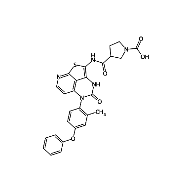 Cc1cc(Oc2ccccc2)ccc1N1C(=O)Nc2c(NC(=O)C3CCN(C(=O)O)C3)sc3nccc1c23